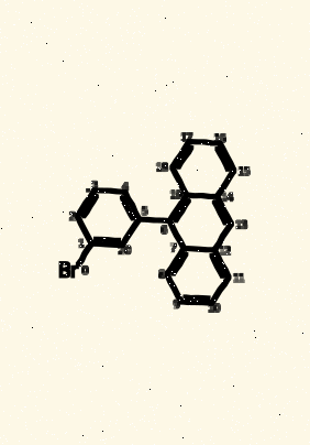 Brc1c[c]cc(-c2c3ccccc3cc3ccccc23)c1